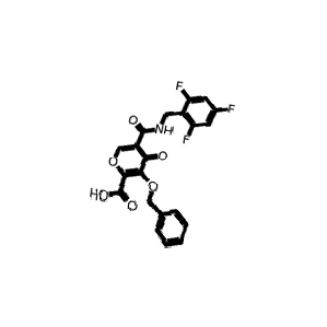 O=C(O)c1occ(C(=O)NCc2c(F)cc(F)cc2F)c(=O)c1OCc1ccccc1